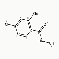 O=C(NO)c1ccc(Cl)cc1Cl